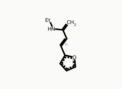 C=C(/C=C/c1ccco1)NCC